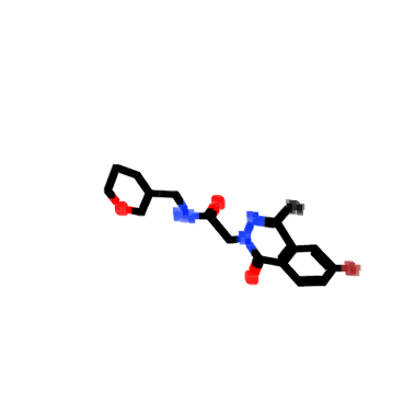 CC(C)c1nn(CC(=O)NCC2CCCOC2)c(=O)c2ccc(Br)cc12